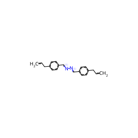 C=CCc1ccc(/C=N/N=C/c2ccc(CC=C)cc2)cc1